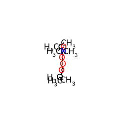 CCCC(C)C(C)C(=O)N(C)CCOCCOCCOCCCC(C)(C)C